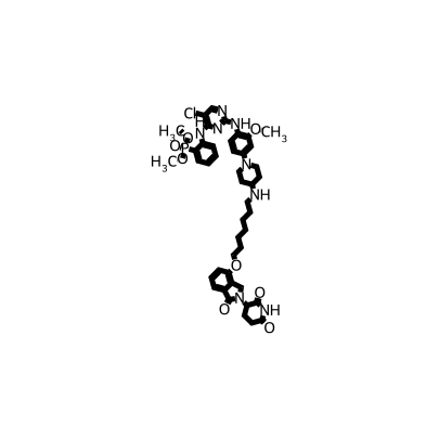 COc1cc(N2CCC(NCCCCCCCOc3cccc4c3CN(C3CCC(=O)NC3=O)C4=O)CC2)ccc1Nc1ncc(Cl)c(Nc2ccccc2P(=O)(OC)OC)n1